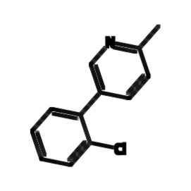 Cc1ccc(-c2ccccc2Cl)cn1